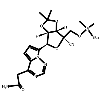 CC1(C)O[C@H]2[C@H](c3ccc4c(CC(N)=O)ncnn34)O[C@](C#N)(CO[Si](C)(C)C(C)(C)C)[C@H]2O1